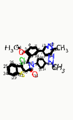 CCOc1ccc(-c2ccc(C)nc2)cc1CN(C(=O)c1sc2ccccc2c1Cl)[C@H]1CC[C@@H](NC)CC1